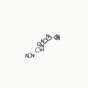 CN1CCN(C[C@H]2CC[C@H](C(=O)Nc3cc4cc(-c5cnn(C)c5)cnc4cn3)CC2)CC1